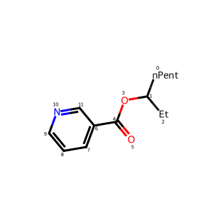 CCCCCC(CC)OC(=O)c1cccnc1